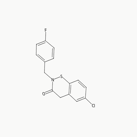 O=C1Cc2cc(Cl)ccc2SN1Cc1ccc(F)cc1